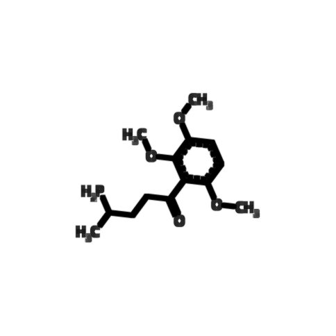 COc1ccc(OC)c(C(=O)CCC(C)P)c1OC